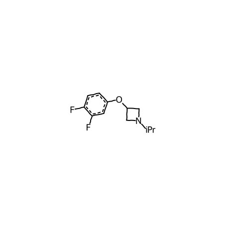 CC(C)N1CC(Oc2ccc(F)c(F)c2)C1